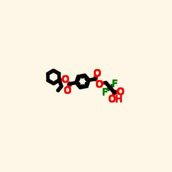 CCC1(OC(=O)c2ccc(C(=O)OCC(F)(F)C(=O)O)cc2)CCCCC1